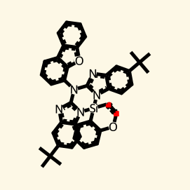 CC(C)(C)c1ccc2c(c1)nc1n2[Si]2(c3ccccc3Oc3ccccc32)n2c(nc3cc(C(C)(C)C)ccc32)N1c1cccc2c1oc1ccccc12